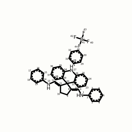 C(Nc1ccccc1)=C1CCC(=CNc2ccccc2)C12c1ccccc1[NH+](c1ccccc1)c1ccccc12.F[B-](F)(F)F